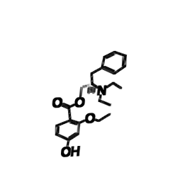 CCOc1cc(O)ccc1C(=O)OC[C@H](Cc1ccccc1)N(CC)CC